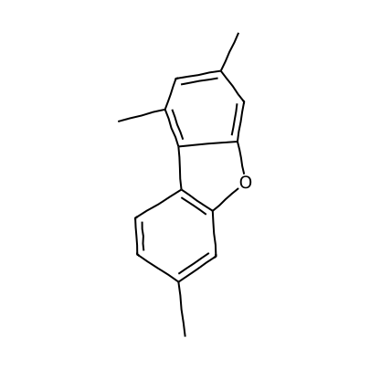 Cc1ccc2c(c1)oc1cc(C)cc(C)c12